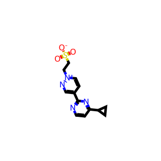 O=S(=O)([O-])CC[n+]1ccc(-c2nccc(C3CC3)n2)cn1